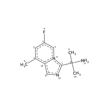 Cc1cc(F)cn2c(C(C)(C)N)ncc12